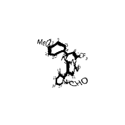 COc1ccc(-c2cc(C(F)(F)F)n3ncc(C4CCCCN4C=O)c3n2)cc1